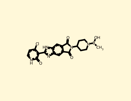 CB(O)N1CCC(N2C(=O)c3cc4nc(-c5c(Cl)cc[nH]c5=O)[nH]c4cc3C2=O)CC1